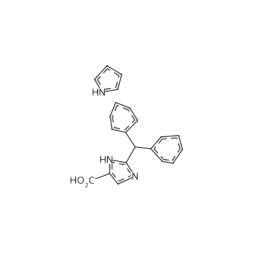 O=C(O)c1cnc(C(c2ccccc2)c2ccccc2)[nH]1.c1cc[nH]c1